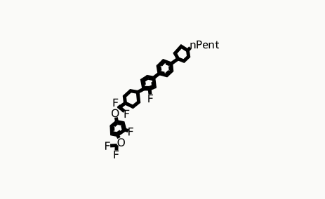 CCCCCC1CCC(c2ccc(-c3ccc(C4CCC(C(F)(F)Oc5ccc(OC(F)F)c(F)c5)CC4)c(F)c3)cc2)CC1